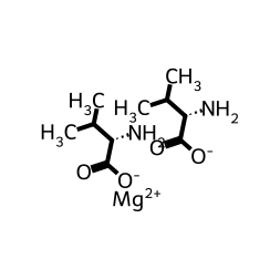 CC(C)[C@H](N)C(=O)[O-].CC(C)[C@H](N)C(=O)[O-].[Mg+2]